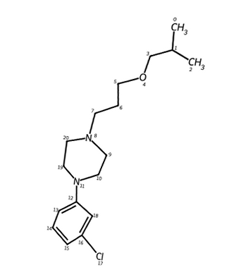 CC(C)COCCCN1CCN(c2cccc(Cl)c2)CC1